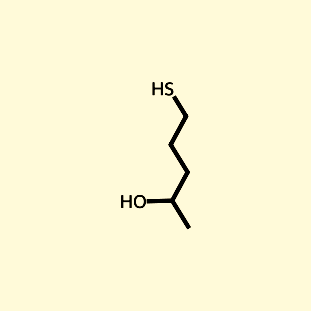 CC(O)CCCS